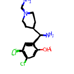 NCN1CCC(C(N)c2cc(Cl)c(Cl)cc2O)CC1